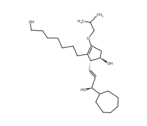 CC(C)COC1=C(CCCCCCCO)[C@@H](/C=C/[C@H](O)C2CCCCCC2)[C@H](O)C1